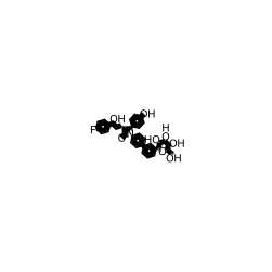 O=C1[C@H](CC[C@H](O)c2ccc(F)cc2)[C@@H](c2ccc(O)cc2)N1c1ccc(-c2cccc([C@@H]3OC(CO)[C@@H](O)C(O)C3O)c2)cc1